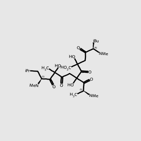 CCC(C)[C@@H](NC)C(=O)CC(O)(C(=O)O)C(=O)C(O)(CC(=O)C(C)(O)C(=O)[C@H](CC(C)C)NC)C(=O)[C@H](C)NC